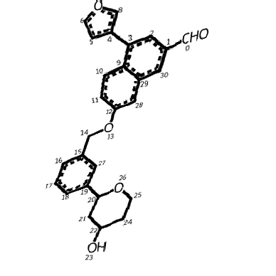 O=Cc1cc(-c2ccoc2)c2ccc(OCc3cccc(C4CC(O)CCO4)c3)cc2c1